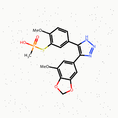 COc1ccc(-c2[nH]nnc2-c2cc(OC)c3c(c2)OCO3)cc1SP(C)(=O)O